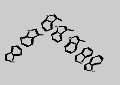 Cc1c[nH]c2ccccc12.Cc1c[nH]c2ccccc12.Cc1c[nH]c2ccccc12.Cc1c[nH]c2ccccc12.c1ccc2[nH]ccc2c1.c1ccc2[nH]ccc2c1.c1ccc2[nH]ccc2c1